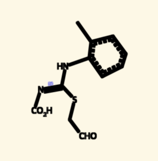 Cc1ccccc1N/C(=N/C(=O)O)SCC=O